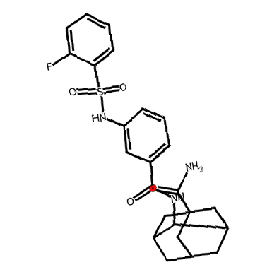 NC(=O)C12CC3CC(C1)C(NC(=O)c1cccc(NS(=O)(=O)c4ccccc4F)c1)C(C3)C2